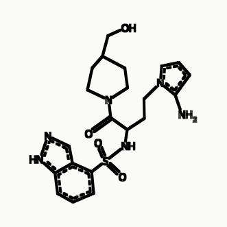 Nc1cccn1CCC(NS(=O)(=O)c1cccc2[nH]ncc12)C(=O)N1CCC(CO)CC1